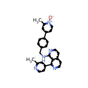 Cc1cc(-c2nccc3ccnc(NCc4ccc(-c5cc[n+]([O-])c(C)c5)cc4)c23)ccn1